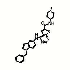 CN1CCC(NC(=O)c2cc3c(Nc4ccc5c(ccn5Cc5ccccc5)c4)ncnc3s2)CC1